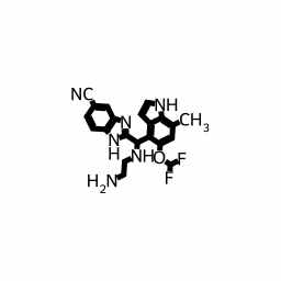 Cc1cc(OC(F)F)c(C(NCCN)c2nc3cc(C#N)ccc3[nH]2)c2cc[nH]c12